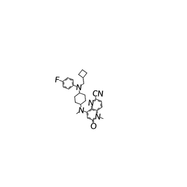 CN(c1cc(=O)n(C)c2ccc(C#N)nc12)C1CCC(N(CC2CCC2)c2ccc(F)cc2)CC1